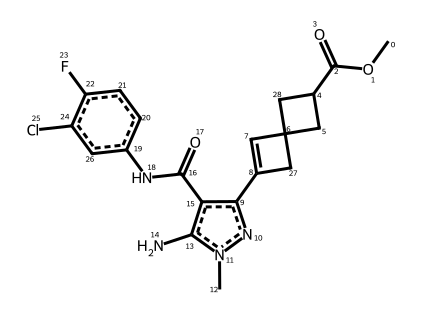 COC(=O)C1CC2(C=C(c3nn(C)c(N)c3C(=O)Nc3ccc(F)c(Cl)c3)C2)C1